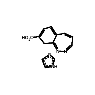 O=C(O)C1=CC=C2C=CC=NN=C2C1.c1c[nH]cn1